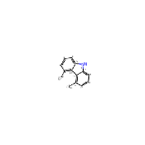 [Li][c]1cccc2[nH]c3ccc[c]([Li])c3c12